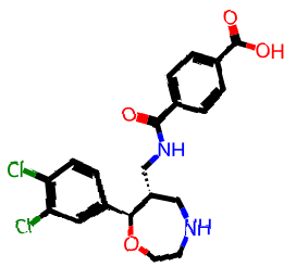 O=C(O)c1ccc(C(=O)NC[C@@H]2CNCCO[C@H]2c2ccc(Cl)c(Cl)c2)cc1